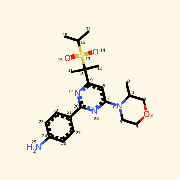 CC1COCCN1c1cc(C(C)(C)S(=O)(=O)C(C)C)nc(-c2ccc(N)cc2)n1